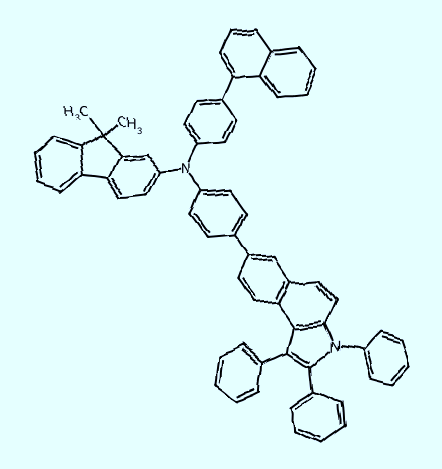 CC1(C)c2ccccc2-c2ccc(N(c3ccc(-c4ccc5c(ccc6c5c(-c5ccccc5)c(-c5ccccc5)n6-c5ccccc5)c4)cc3)c3ccc(-c4cccc5ccccc45)cc3)cc21